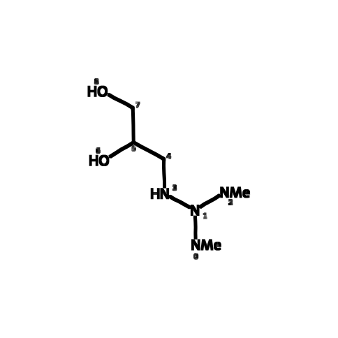 CNN(NC)NCC(O)CO